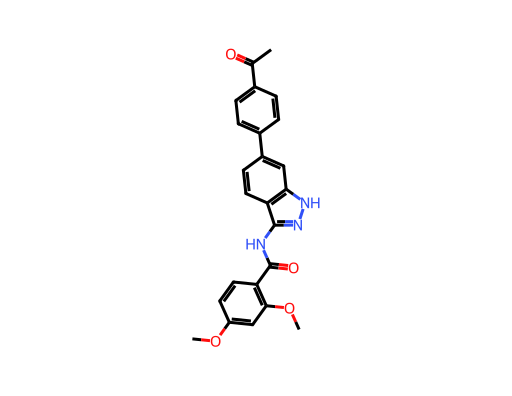 COc1ccc(C(=O)Nc2n[nH]c3cc(-c4ccc(C(C)=O)cc4)ccc23)c(OC)c1